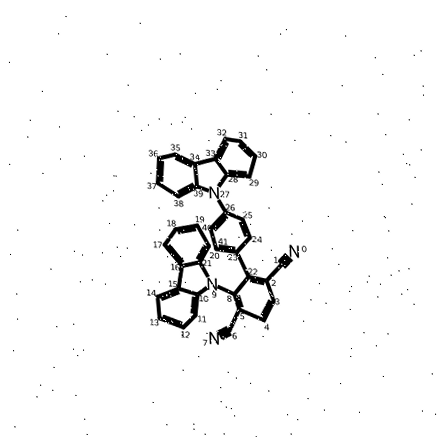 N#Cc1ccc(C#N)c(-n2c3ccccc3c3ccccc32)c1-c1ccc(-n2c3ccccc3c3ccccc32)cc1